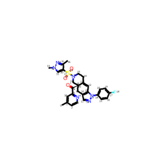 Cc1ccnc(C(=O)[C@]23Cc4cnn(-c5ccc(F)cc5)c4C=C2CCN(S(=O)(=O)c2cn(C)nc2C)C3)c1